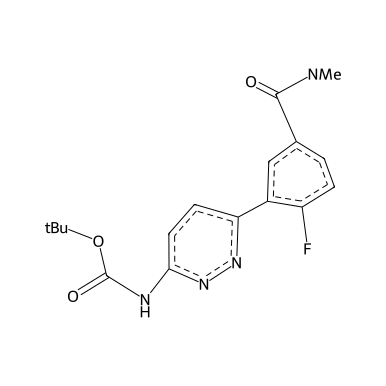 CNC(=O)c1ccc(F)c(-c2ccc(NC(=O)OC(C)(C)C)nn2)c1